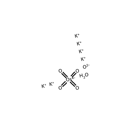 O.[K+].[K+].[K+].[K+].[K+].[K+].[O-2].[O]=[Os-4](=[O])(=[O])=[O]